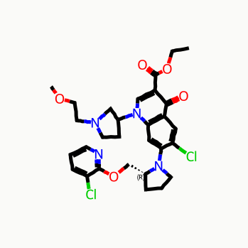 CCOC(=O)c1cn(C2CCN(CCOC)C2)c2cc(N3CCC[C@@H]3COc3ncccc3Cl)c(Cl)cc2c1=O